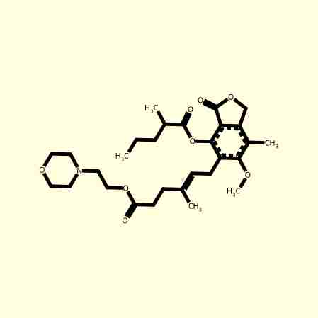 CCCC(C)C(=O)Oc1c(C/C=C(\C)CCC(=O)OCCN2CCOCC2)c(OC)c(C)c2c1C(=O)OC2